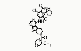 C[C@@H]1COCCN1C(=O)[C@H]1CCc2c(sc3ncnc(Nc4cc(Cl)c5n(c4=O)C4(CCCC4)NC5=O)c23)C1